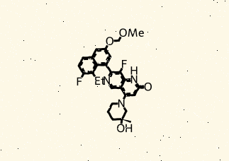 CCc1c(F)ccc2cc(OCOC)cc(-c3ncc4c(N5CCC[C@@](C)(O)C5)cc(=O)[nH]c4c3F)c12